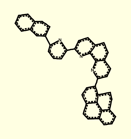 c1cc(-c2ccc3ccccc3c2)nc(-c2ccc3ccc4ccc(-c5ccc6ccc7cccc8ccc5c6c78)nc4c3n2)c1